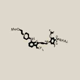 COCCN1CCC(Nc2cccc3c(CC(F)(F)F)c(C#CCNc4cc(F)c(S(=O)(=O)NC(C)=O)cc4OC(F)F)sc23)CC1